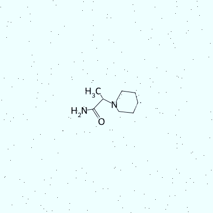 CC(C(N)=O)N1CC[CH]CC1